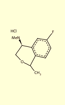 CN[C@@H]1COC(C)c2ccc(F)cc21.Cl